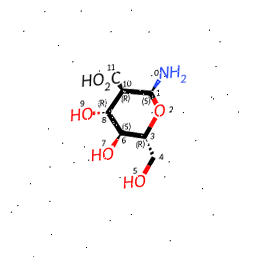 N[C@H]1O[C@H](CO)[C@@H](O)[C@H](O)[C@H]1C(=O)O